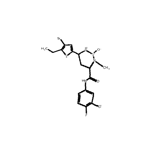 CCc1sc(C2CC(C(=O)Nc3ccc(F)c(Cl)c3)N(C)[S+]([O-])N2)cc1Br